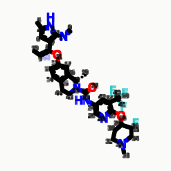 C=Nc1[nH]c(C)cc1/C(=C\C)Oc1ccc2c(c1)[C@H](C)N(C(=O)Nc1cnc(OC3CCN(C)CC3F)c(C(F)(F)F)c1)CC2